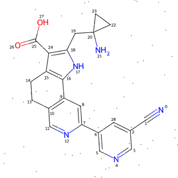 N#Cc1cncc(-c2cc3c(cn2)CCc2c-3[nH]c(CC3(N)CC3)c2C(=O)O)c1